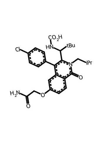 CC(C)Cn1c(C(NC(=O)O)C(C)(C)C)c(-c2ccc(Cl)cc2)c2cc(OCC(N)=O)ccc2c1=O